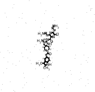 Cc1[nH]c2ccc(CC(=O)N3CCC4(CC3)CN(N)C(NC(=O)c3nc(Cl)c(N=NN)nc3N=NN)N4)cc2c1C